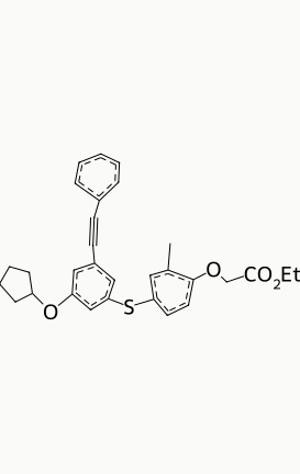 CCOC(=O)COc1ccc(Sc2cc(C#Cc3ccccc3)cc(OC3CCCC3)c2)cc1C